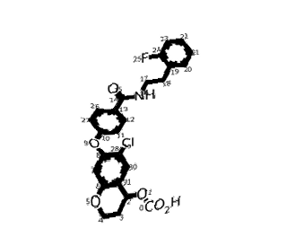 O=C(O)OC1CCOc2cc(Oc3ccc(C(=O)NCCc4ccccc4F)cc3)c(Cl)cc21